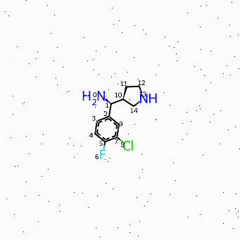 N[C@H](c1ccc(F)c(Cl)c1)[C@H]1CCNC1